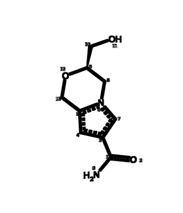 NC(=O)c1cc2n(c1)C[C@H](CO)OC2